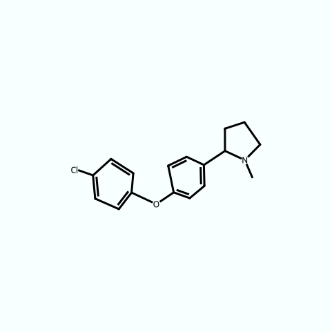 CN1CCCC1c1ccc(Oc2ccc(Cl)cc2)cc1